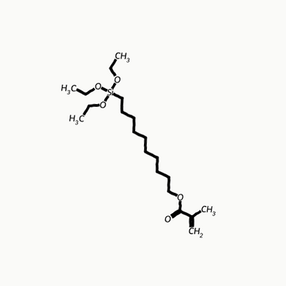 C=C(C)C(=O)OCCCCCCCCCC[Si](OCC)(OCC)OCC